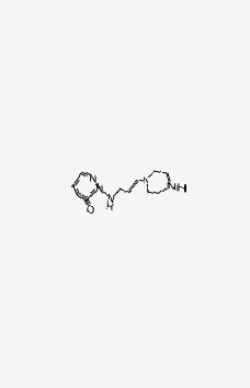 O=c1cccnn1NCC=CN1CCNCC1